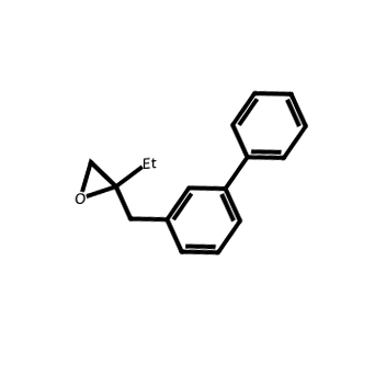 CCC1(Cc2cccc(-c3ccccc3)c2)CO1